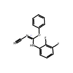 N#C/N=C(\Nc1cccc(F)c1F)Oc1ccccc1